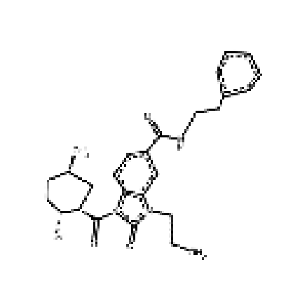 CC(C)[C@@H]1CC[C@@H](C)C[C@H]1C(=O)n1c(=O)n(CCN)c2cc(C(=O)NCCc3ccccc3)ccc21